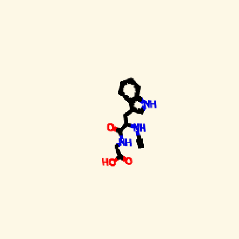 C#CNC(Cc1c[nH]c2ccccc12)C(=O)NCC(=O)O